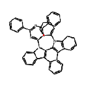 C1=Cc2c(n(C3=CCCCC3)c3c2c2ccccc2c2c4ccccc4n(-c4nc(-c5ccccc5)nc(-c5ccccc5)n4)c23)CC1